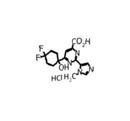 Cl.Cn1cncc1-c1nc(C(=O)O)cc(C2(O)CCC(F)(F)CC2)n1